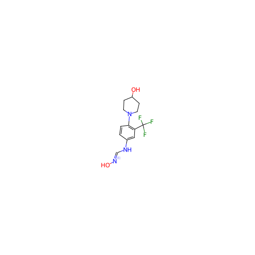 O/N=C/Nc1ccc(N2CCC(O)CC2)c(C(F)(F)F)c1